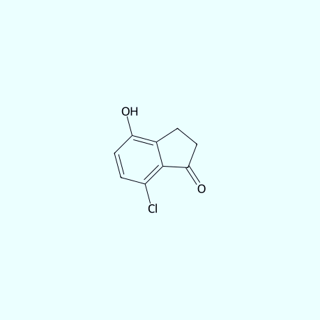 O=C1CCc2c(O)ccc(Cl)c21